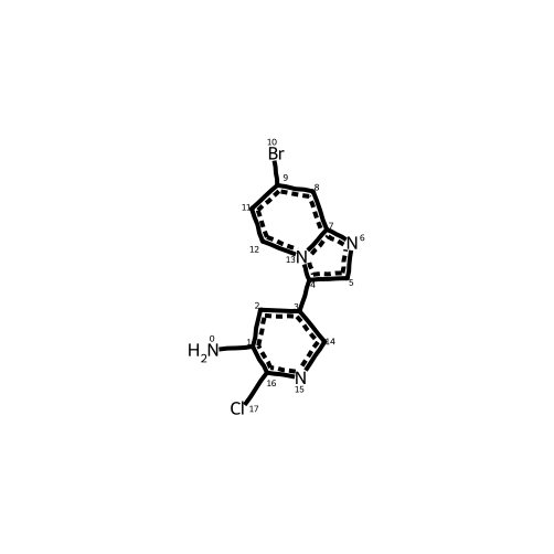 Nc1cc(-c2cnc3cc(Br)ccn23)cnc1Cl